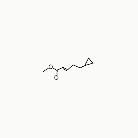 COC(=O)C=CCCC1[CH]C1